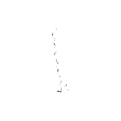 CC/C=C/C/C=C/C/C=C/C/C=C/C/C=C/CCCCC(C(=O)O)[N+](=O)[O-]